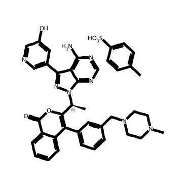 C[C@@H](c1oc(=O)c2ccccc2c1-c1cccc(CN2CCN(C)CC2)c1)n1nc(-c2cncc(O)c2)c2c(N)ncnc21.Cc1ccc(S(=O)(=O)O)cc1